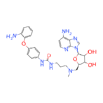 CN(CCCNC(=O)Nc1ccc(Oc2ccccc2N)cc1)C[C@H]1O[C@@H](n2cnc3c(N)ccnc32)C(O)C1O